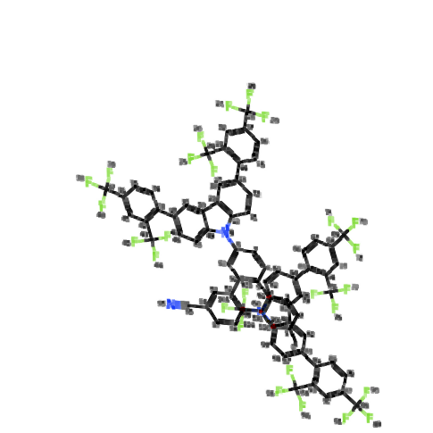 Cc1ccc(-c2ccc(-n3c4ccc(-c5ccc(C(F)(F)F)cc5C(F)(F)F)cc4c4cc(-c5ccc(C(F)(F)F)cc5C(F)(F)F)ccc43)cc2-c2cc(C#N)ccc2-n2c3ccc(-c4ccc(C(F)(F)F)cc4C(F)(F)F)cc3c3cc(-c4ccc(C(F)(F)F)cc4C(F)(F)F)ccc32)c(C(F)(F)F)c1